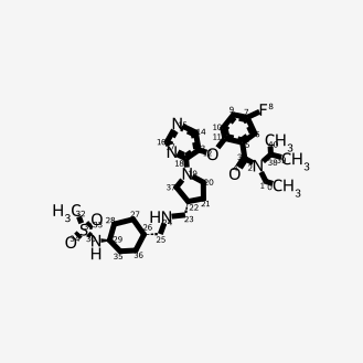 CCN(C(=O)c1cc(F)ccc1Oc1cncnc1N1CC[C@H](CNC[C@H]2CC[C@H](NS(C)(=O)=O)CC2)C1)C(C)C